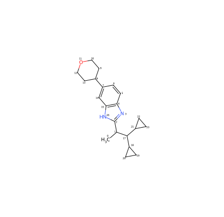 CC(c1nc2ccc(C3CCOCC3)cc2[nH]1)C(C1CC1)C1CC1